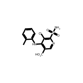 Cc1ccccc1Nc1c(C(=O)O)cnc(S(N)(=O)=O)c1Cl